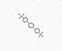 FC(F)(F)c1ccc(-c2ccc(-c3ccc(C(F)(F)F)cc3)cc2)cc1